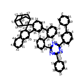 c1ccc(-c2cccc(-c3nc(-c4ccccc4)nc(-c4ccccc4-c4ccccc4-c4ccc5c(c4)-c4cc6ccccc6cc4C54C5CC6CC(C5)CC4C6)n3)c2)cc1